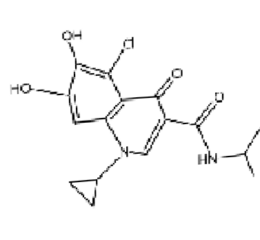 CC(C)NC(=O)c1cn(C2CC2)c2cc(O)c(O)c(Cl)c2c1=O